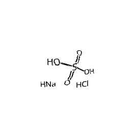 Cl.O=S(=O)(O)O.[NaH]